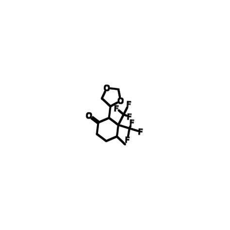 CC1CCC(=O)C(C2COCO2)C1(C(F)(F)F)C(F)(F)F